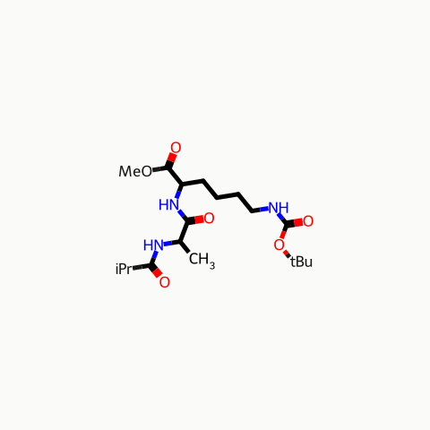 COC(=O)C(CCCCNC(=O)OC(C)(C)C)NC(=O)C(C)NC(=O)C(C)C